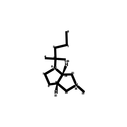 CCCC(C)(C)N1CC[C@H]2CN(C)C[C@H]21